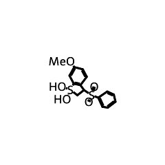 COc1ccc2c(c1)S(O)(O)CC2S(=O)(=O)c1ccccc1